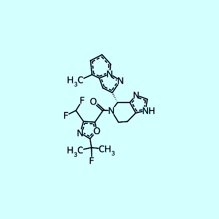 Cc1cccn2nc([C@@H]3c4nc[nH]c4CCN3C(=O)c3oc(C(C)(C)F)nc3C(F)F)cc12